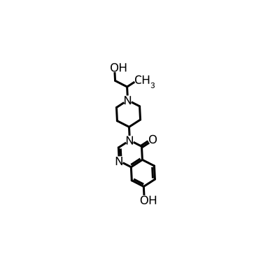 CC(CO)N1CCC(n2cnc3cc(O)ccc3c2=O)CC1